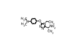 CCn1c(Oc2ccc(N(C)C)cc2)nnc1[C@@H](C)N